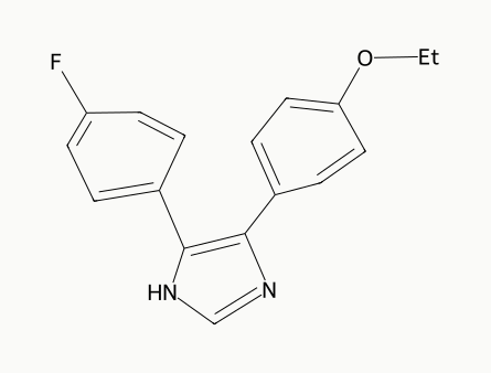 CCOc1ccc(-c2nc[nH]c2-c2ccc(F)cc2)cc1